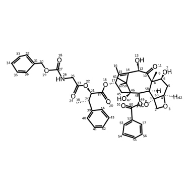 CC(=O)O[C@@]12CO[C@@H]1C[C@H](O)[C@@]1(C)C(=O)[C@H](O)C3=C(C)[C@@H](OC(=O)[C@H](OC(=O)CNC(=O)OCc4ccccc4)[C@@H](C)c4ccccc4)C[C@@](O)(C(OC(=O)c4ccccc4)[C@H]21)C3(C)C